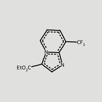 CCOC(=O)c1cnc2c(C(F)(F)F)cccn12